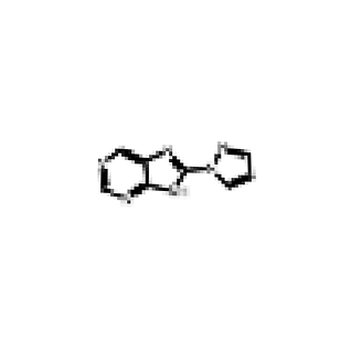 c1cnn(-c2nc3cncnc3[nH]2)c1